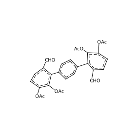 CC(=O)Oc1ccc(C=O)c(-c2ccc(-c3c(C=O)ccc(OC(C)=O)c3OC(C)=O)cc2)c1OC(C)=O